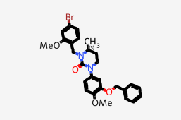 COc1cc(Br)ccc1CN1C(=O)N(c2ccc(OC)c(OCc3ccccc3)c2)CC[C@@H]1C